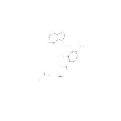 CCN(CC)c1ccc(C(=O)N[C@@H](CCC(=O)O)C(=O)O)c(N)c1CCc1cnc2[nH]cncc1-2